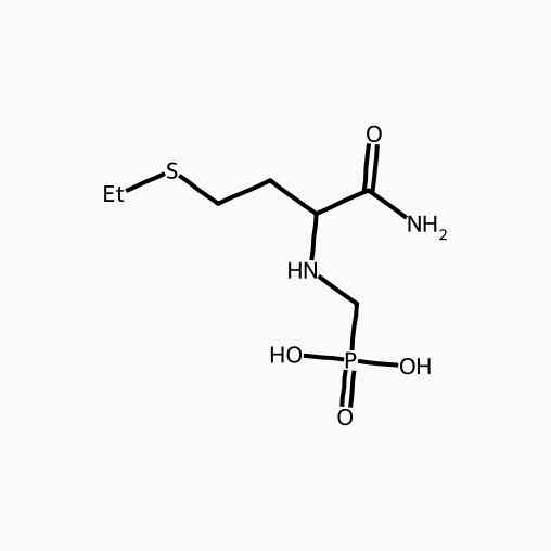 CCSCCC(NCP(=O)(O)O)C(N)=O